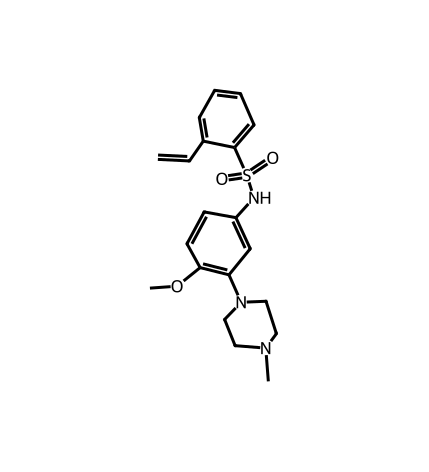 C=Cc1ccccc1S(=O)(=O)Nc1ccc(OC)c(N2CCN(C)CC2)c1